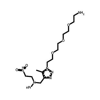 CCCN(CC[SH](=O)=O)Cc1nnn(CCOCCOCCOCCN)c1C